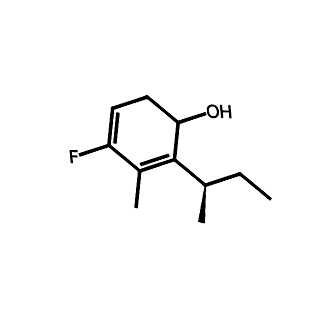 CC[C@@H](C)C1=C(C)C(F)=CCC1O